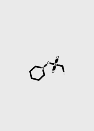 O=S(=O)(CI)ON1CCCCC1